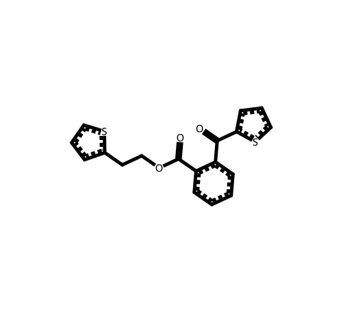 O=C(OCCc1cccs1)c1ccccc1C(=O)c1cccs1